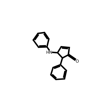 O=C1C=CC(Nc2ccccc2)C1c1ccccc1